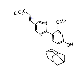 CCOC(=O)/C=C/c1cnc(-c2cc(C34CC5CC(CC(C5)C3)C4)c(O)cc2OC)nc1